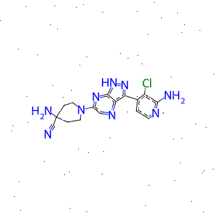 N#CC1(N)CCN(c2cnc3c(-c4ccnc(N)c4Cl)n[nH]c3n2)CC1